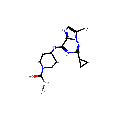 CC(C)c1cnc2c(NC3CCN(C(=O)OC(C)(C)C)CC3)nc(C3CC3)nn12